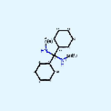 CCCCNC(NCCCC)(C1CCCCC1)C1CCCCC1